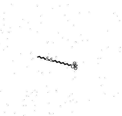 CCCCCSCSCCCCCCCCCCOS(C)(=O)=O